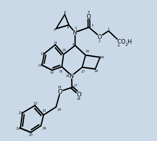 O=C(O)COC(=O)N(C1CC1)C1c2ccccc2N(C(=O)OCc2ccccc2)C2CCC21